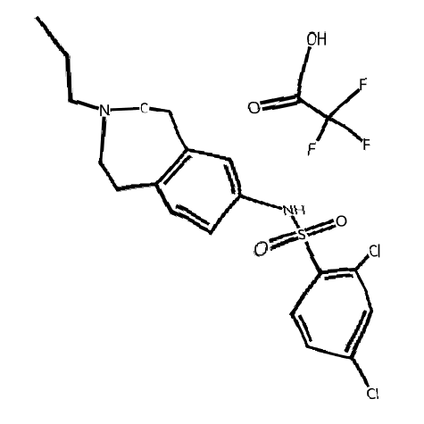 CCCN1CCc2ccc(NS(=O)(=O)c3ccc(Cl)cc3Cl)cc2CC1.O=C(O)C(F)(F)F